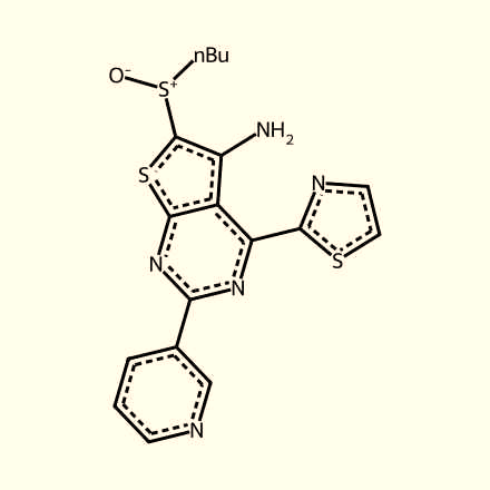 CCCC[S+]([O-])c1sc2nc(-c3cccnc3)nc(-c3nccs3)c2c1N